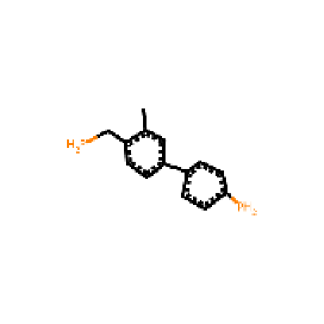 Cc1cc(-c2ccc(P)cc2)ccc1CP